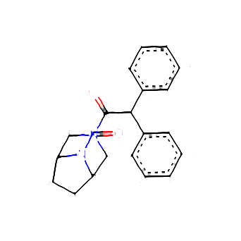 O=CN1C2CCC1CN(C(=O)C(c1ccccc1)c1ccccc1)C2